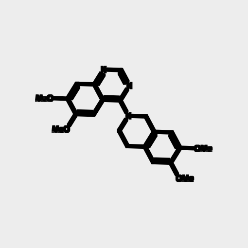 COc1cc2c(cc1OC)CN(c1ncnc3cc(OC)c(OC)cc13)CC2